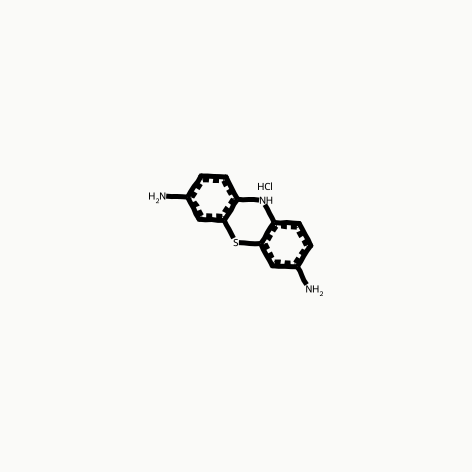 Cl.Nc1ccc2c(c1)Sc1cc(N)ccc1N2